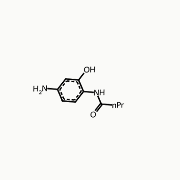 CCCC(=O)Nc1ccc(N)cc1O